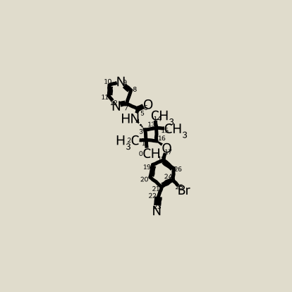 CC1(C)[C@H](NC(=O)c2cnccn2)C(C)(C)[C@H]1Oc1ccc(C#N)c(Br)c1